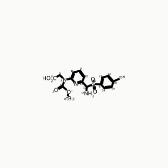 CC(C)(C)OC(=O)N(CC(=O)O)c1cccc(C(N)S(=O)(=O)c2ccc(F)cc2)n1